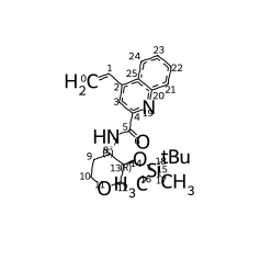 C=Cc1cc(C(=O)N[C@H]2CCOC[C@@H]2O[Si](C)(C)C(C)(C)C)nc2ccccc12